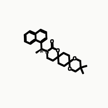 C[C@@H](c1cccc2ccccc12)N1CCC2(CCC3(CC2)OCC(C)(C)CO3)OC1=O